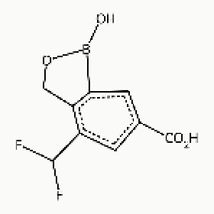 O=C(O)c1cc2c(c(C(F)F)c1)COB2O